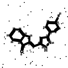 O=C1/C(=C/c2cc(-c3ccc(F)cc3)n[nH]2)Cc2ccccc21